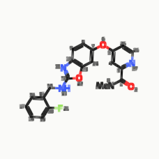 CNC(=O)c1cc(Oc2ccc3nc(NCc4ccccc4F)oc3c2)ccn1